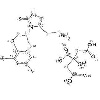 NCCc1c[nH]c(=S)n1[C@H]1COc2c(F)cc(F)cc2C1.O=C(O)CC(O)(CC(=O)O)C(=O)O